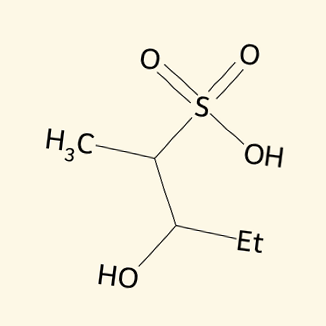 CCC(O)C(C)S(=O)(=O)O